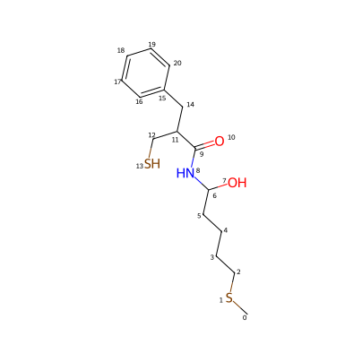 CSCCCCC(O)NC(=O)C(CS)Cc1ccccc1